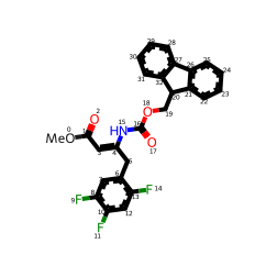 COC(=O)/C=C(/Cc1cc(F)c(F)cc1F)NC(=O)OCC1c2ccccc2-c2ccccc21